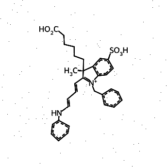 C[C@]1(CCCCCC(=O)O)C(/C=C/C=C/Nc2ccccc2)=[N+](Cc2ccccc2)c2ccc(S(=O)(=O)O)cc21